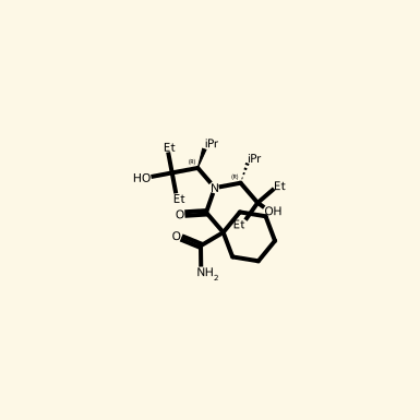 CCC(O)(CC)[C@@H](C(C)C)N(C(=O)C1(C(N)=O)CCCCC1)[C@H](C(C)C)C(O)(CC)CC